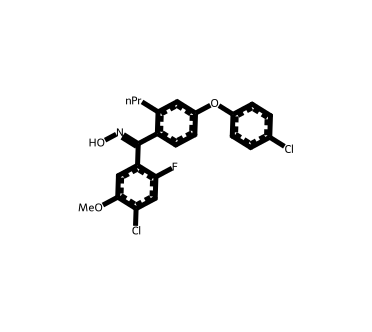 CCCc1cc(Oc2ccc(Cl)cc2)ccc1C(=NO)c1cc(OC)c(Cl)cc1F